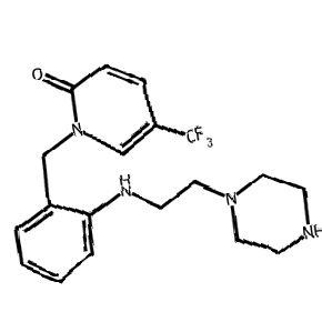 O=c1ccc(C(F)(F)F)cn1Cc1ccccc1NCCN1CCNCC1